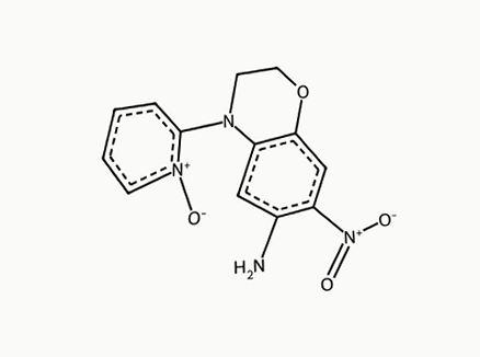 Nc1cc2c(cc1[N+](=O)[O-])OCCN2c1cccc[n+]1[O-]